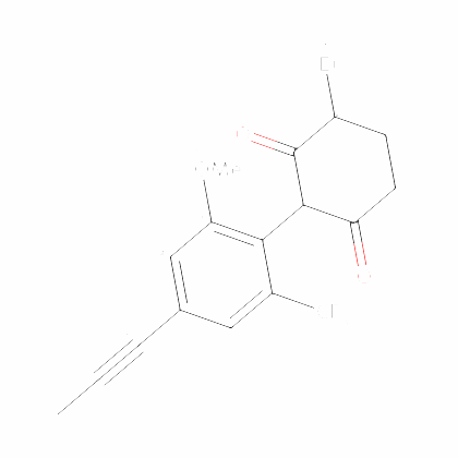 CC#Cc1cc(OC)c(C2C(=O)CCC(CC)C2=O)c(C(F)(F)F)c1